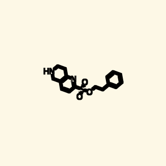 O=S(=O)(OCCc1ccccc1)c1ccc2c(n1)CCNC2